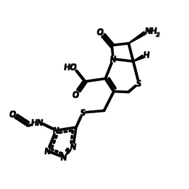 N[C@@H]1C(=O)N2C(C(=O)O)=C(CSc3nnnn3NC=O)CS[C@@H]12